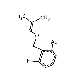 CC(=O)c1cccc(I)c1CON=C(C)C